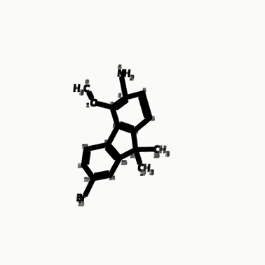 COc1c(N)ccc2c1-c1ccc(Br)cc1C2(C)C